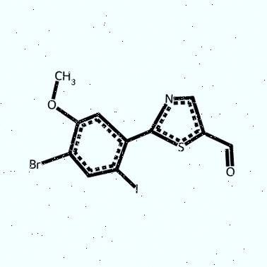 COc1cc(-c2ncc(C=O)s2)c(I)cc1Br